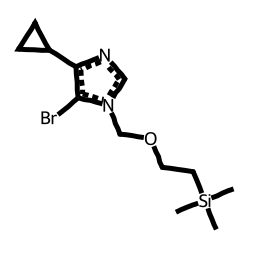 C[Si](C)(C)CCOCn1cnc(C2CC2)c1Br